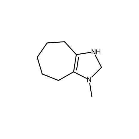 CN1CNC2=C1CCCCC2